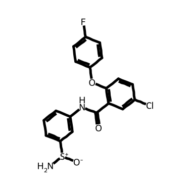 N[S+]([O-])c1cccc(NC(=O)c2cc(Cl)ccc2Oc2ccc(F)cc2)c1